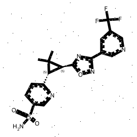 CC1(C)[C@@H](c2ccc(S(N)(=O)=O)cn2)[C@@H]1c1nc(-c2cncc(C(F)(F)F)c2)no1